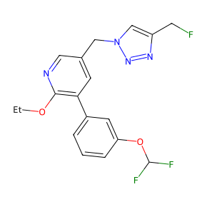 CCOc1ncc(Cn2cc(CF)nn2)cc1-c1cccc(OC(F)F)c1